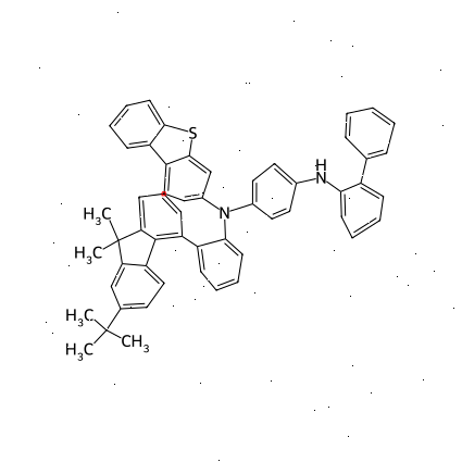 CC(C)(C)c1ccc2c(c1)C(C)(C)c1cccc(-c3ccccc3N(c3ccc(Nc4ccccc4-c4ccccc4)cc3)c3ccc4c(c3)sc3ccccc34)c1-2